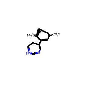 COC1=CCC(C(=O)O)C=C1C1=CN=CNCC1